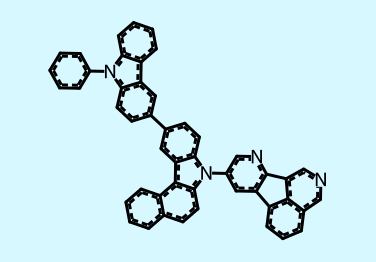 c1ccc(-n2c3ccccc3c3cc(-c4ccc5c(c4)c4c6ccccc6ccc4n5-c4cnc5c(c4)-c4cccc6cncc-5c46)ccc32)cc1